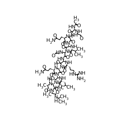 CC(=O)N[C@@H](NCC=O)C(=O)N[C@@H](N[C@@H](C=O)CCC(N)=O)C(=O)N[C@@H](N[C@@H](C=O)C(C)C)C(=O)N[C@@H](NCC=O)C(=O)N[C@@H](N[C@@H](C=O)CCCNC(=N)N)C(=O)N[C@@H](N[C@@H](C=O)CCC(N)=O)C(=O)N[C@@H](N[C@@H](C=O)CC(C)C)C(O)N[C@@H](N[C@@H](C)C=O)C(=O)N[C@@H](C)C(=O)NC(C)C